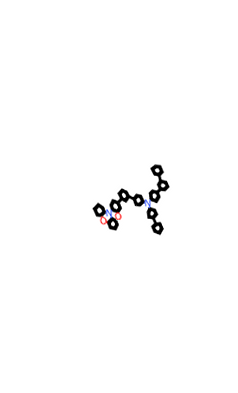 c1ccc(-c2ccc(N(c3ccc(-c4cccc(-c5ccccc5)c4)cc3)c3ccc(-c4cccc(-c5ccc6c(c5)Oc5cccc7c5N6c5ccccc5O7)c4)cc3)cc2)cc1